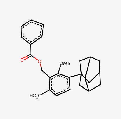 COc1c(C23CC4CC(CC(C4)C2)C3)ccc(C(=O)O)c1COC(=O)c1ccccc1